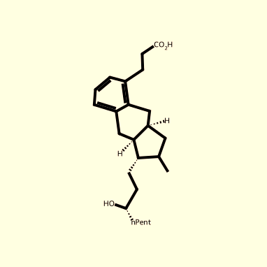 CCCCC[C@H](O)CC[C@H]1C(C)C[C@@H]2Cc3c(CCC(=O)O)cccc3C[C@@H]21